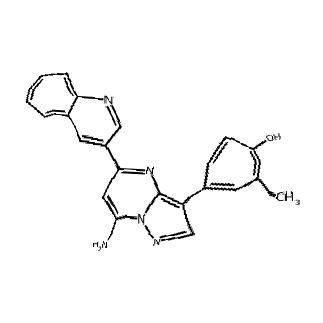 Cc1cc(-c2cnn3c(N)cc(-c4cnc5ccccc5c4)nc23)ccc1O